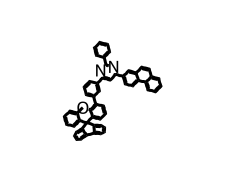 c1ccc(-c2nc(-c3cccc(-c4cccc5c4Oc4ccccc4C54c5ccccc5-c5ccccc54)c3)cc(-c3ccc4c(ccc5ccccc54)c3)n2)cc1